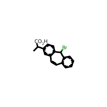 CC(C(=O)O)c1ccc2c(c1)C=Cc1ccccc1C2Br